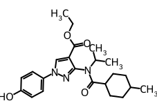 CCOC(=O)c1cn(-c2ccc(O)cc2)nc1N(C(=O)C1CCC(C)CC1)C(C)C